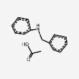 CC(=O)O.c1ccc(CNc2ccccc2)cc1